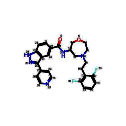 O=C(NC1COCCN(CCc2c(F)cccc2F)C1)c1ccc2[nH]nc(-c3ccncc3)c2c1